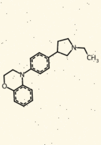 CCN1CCC(c2ccc(N3CCOc4ccccc43)cc2)C1